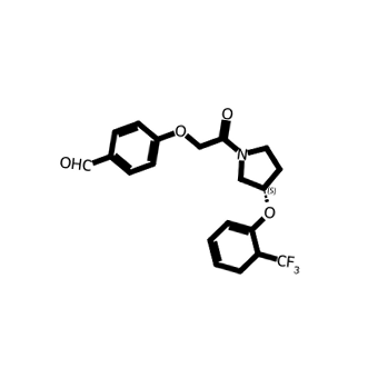 O=Cc1ccc(OCC(=O)N2CC[C@H](OC3=CC=CCC3C(F)(F)F)C2)cc1